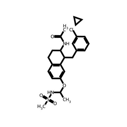 C1CC1.CC(=O)NC1CCc2ccc(OC(C)NS(C)(=O)=O)cc2C1Cc1cccc(Cl)c1